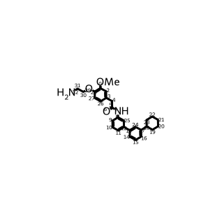 COc1cc(CC(=O)Nc2cccc(-c3cccc(C4CCCCC4)c3)c2)ccc1OCCN